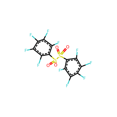 O=S(=O)(c1c(F)c(F)c(F)c(F)c1F)S(=O)(=O)c1c(F)c(F)c(F)c(F)c1F